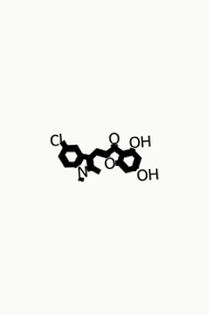 Cc1c(C=C2Oc3cc(O)cc(O)c3C2=O)c2cc(Cl)ccc2n1C